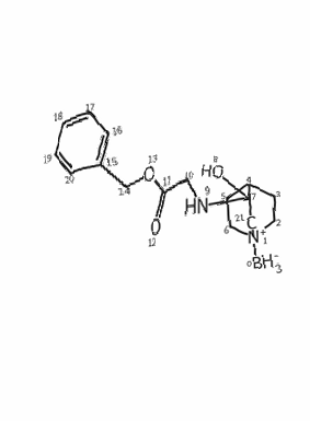 [BH3-][N+]12CCC(CC1)C(O)(NCC(=O)OCc1ccccc1)C2